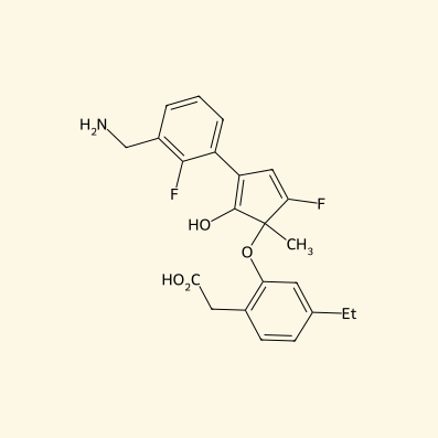 CCc1ccc(CC(=O)O)c(OC2(C)C(F)=CC(c3cccc(CN)c3F)=C2O)c1